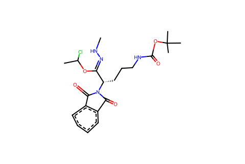 CN/N=C(\OC(C)Cl)[C@H](CCCNC(=O)OC(C)(C)C)N1C(=O)c2ccccc2C1=O